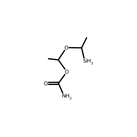 CC([SiH3])OC(C)OC(N)=O